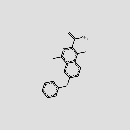 C=C(N)c1nc(C)c2cc(Oc3ccccc3)ccc2c1C